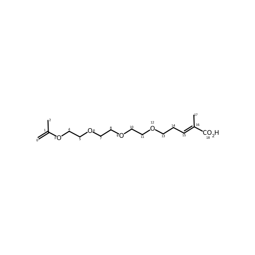 C=C(C)OCCOCCOCCOCCC=C(C)C(=O)O